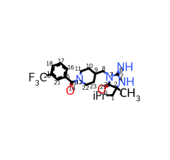 CC(C)CC1(C)NC(=N)N(CC2CCN(C(=O)c3cccc(C(F)(F)F)c3)CC2)C1=O